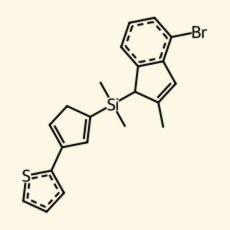 CC1=Cc2c(Br)cccc2C1[Si](C)(C)C1=CC(c2cccs2)=CC1